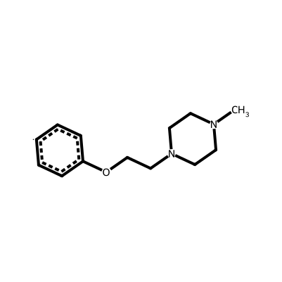 CN1CCN(CCOc2cc[c]cc2)CC1